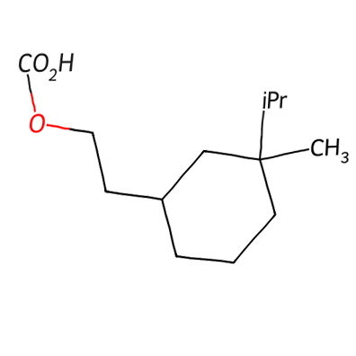 CC(C)C1(C)CCCC(CCOC(=O)O)C1